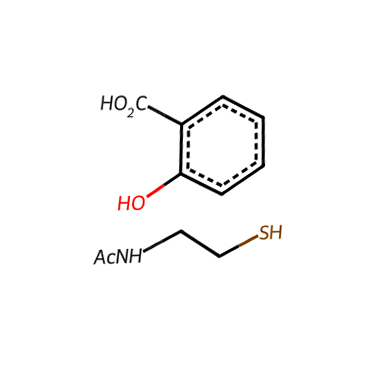 CC(=O)NCCS.O=C(O)c1ccccc1O